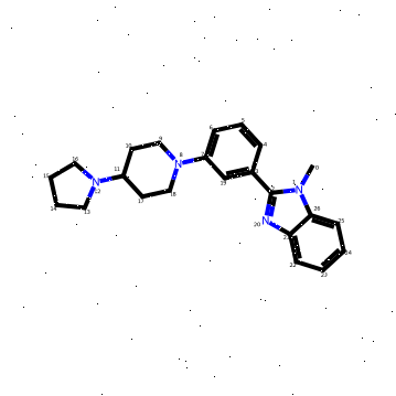 Cn1c(-c2cccc(N3CCC(N4CCCC4)CC3)c2)nc2ccccc21